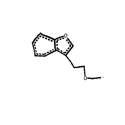 [CH2]OCCc1coc2ccccc12